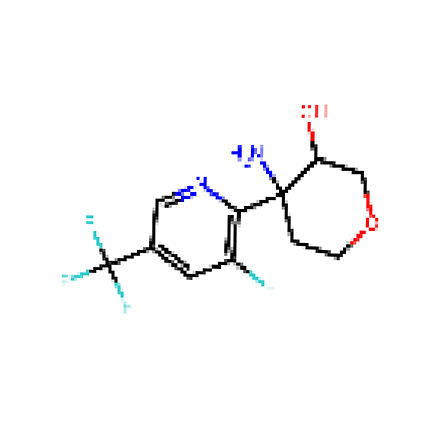 NC1(c2ncc(C(F)(F)F)cc2F)CCOCC1O